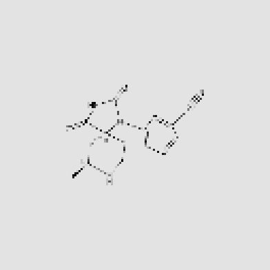 C[C@H]1C[C@]2(CCN1)C(=O)NC(=O)N2c1cccc(C#N)c1